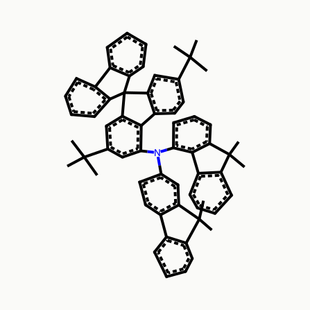 CC(C)(C)c1ccc2c(c1)C1(c3ccccc3-c3ccccc31)c1cc(C(C)(C)C)cc(N(c3ccc4c(c3)C(C)(C)c3ccccc3-4)c3cccc4c3-c3ccccc3C4(C)C)c1-2